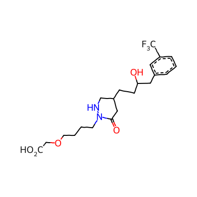 O=C(O)COCCCCN1NCC(CCC(O)Cc2cccc(C(F)(F)F)c2)CC1=O